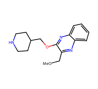 COCc1nc2ccccc2nc1OCC1CCNCC1